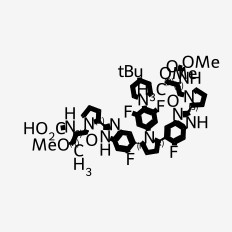 COC(=O)N[C@H](C(=O)N1CCC[C@H]1c1nc2cc([C@H]3CC[C@H](c4cc5nc([C@@H]6CCCN6C(=O)[C@@H](NC(=O)O)[C@@H](C)OC)[nH]c5cc4F)N3c3cc(F)c(N4CCC(C(C)(C)C)CC4)c(F)c3)c(F)cc2[nH]1)[C@@H](C)OC